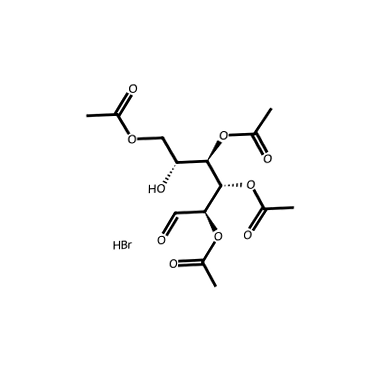 Br.CC(=O)OC[C@@H](O)[C@@H](OC(C)=O)[C@H](OC(C)=O)[C@H](C=O)OC(C)=O